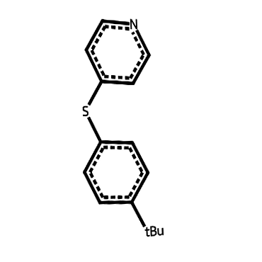 CC(C)(C)c1ccc(Sc2ccncc2)cc1